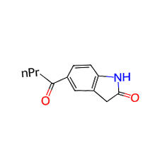 CCCC(=O)c1ccc2c(c1)CC(=O)N2